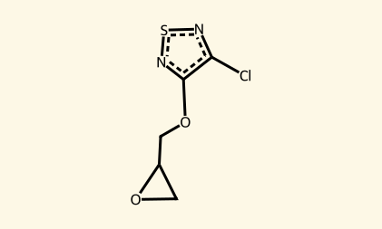 Clc1nsnc1OCC1CO1